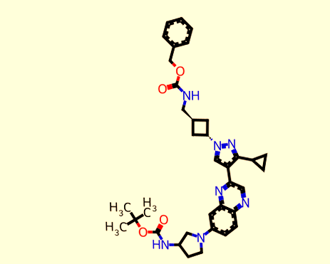 CC(C)(C)OC(=O)NC1CCN(c2ccc3ncc(-c4cn([C@H]5C[C@H](CNC(=O)OCc6ccccc6)C5)nc4C4CC4)nc3c2)C1